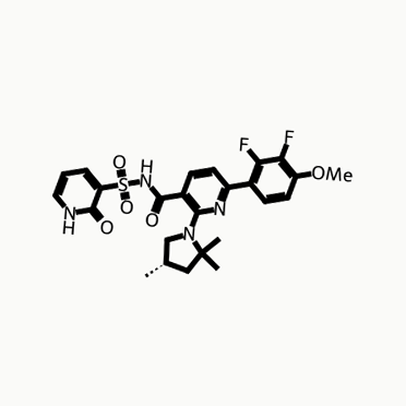 COc1ccc(-c2ccc(C(=O)NS(=O)(=O)c3ccc[nH]c3=O)c(N3C[C@@H](C)CC3(C)C)n2)c(F)c1F